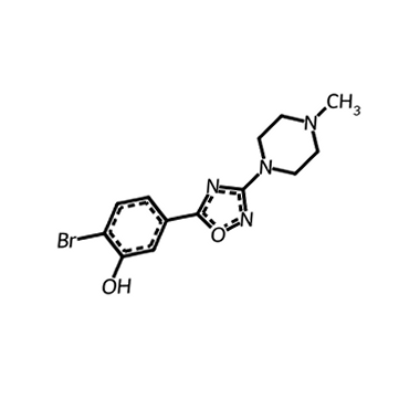 CN1CCN(c2noc(-c3ccc(Br)c(O)c3)n2)CC1